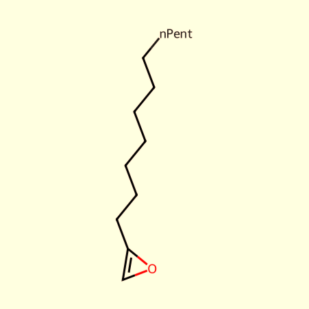 CCCCCCCCCCCCC1=CO1